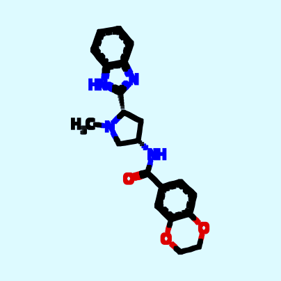 CN1C[C@@H](NC(=O)c2ccc3c(c2)OCCO3)C[C@H]1c1nc2ccccc2[nH]1